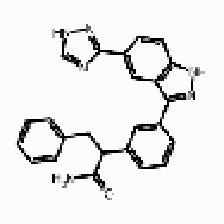 NC(=O)C(Cc1ccccc1)c1cccc(-c2n[nH]c3ccc(-c4nc[nH]n4)cc23)c1